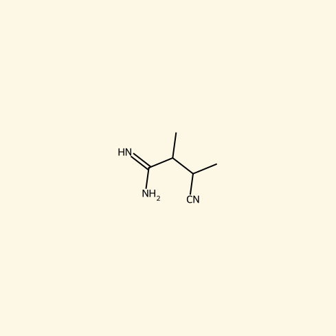 CC(C#N)C(C)C(=N)N